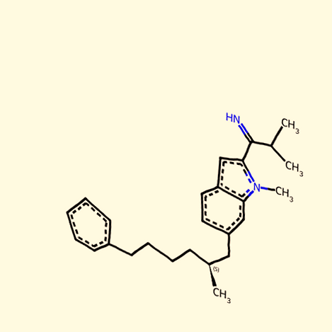 CC(C)C(=N)c1cc2ccc(C[C@@H](C)CCCCc3ccccc3)cc2n1C